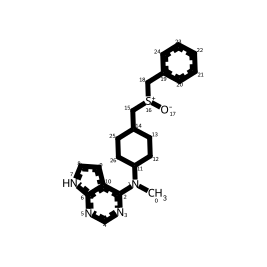 CN(c1ncnc2[nH]ccc12)C1CCC(C[S+]([O-])Cc2ccccc2)CC1